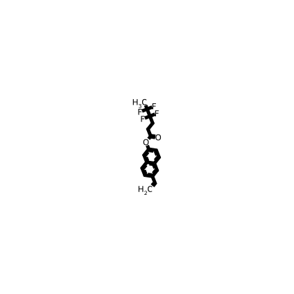 C=Cc1ccc2cc(OC(=O)CCC(F)(F)C(C)(F)F)ccc2c1